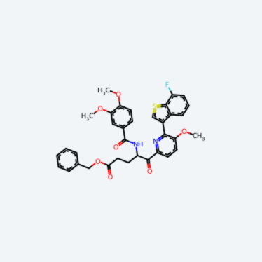 COc1ccc(C(=O)NC(CCC(=O)OCc2ccccc2)C(=O)c2ccc(OC)c(-c3csc4c(F)cccc34)n2)cc1OC